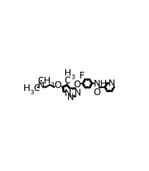 Cc1c(OCCCN(C)C)cn2ncnc(Oc3ccc(NC(=O)c4cccnc4)cc3F)c12